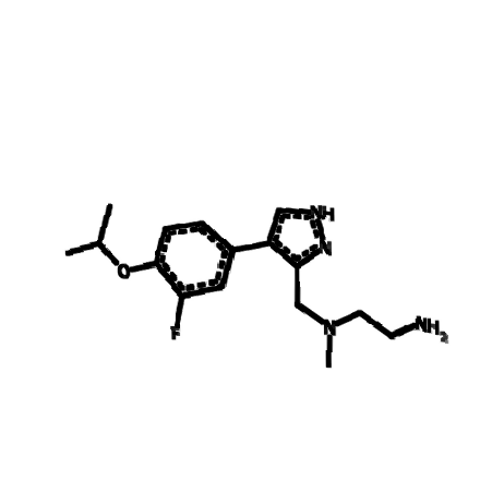 CC(C)Oc1ccc(-c2c[nH]nc2CN(C)CCN)cc1F